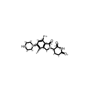 O=C1CCC(N2Cc3c(F)c(N4CCNCC4)cc(F)c3C2=O)C(=O)N1